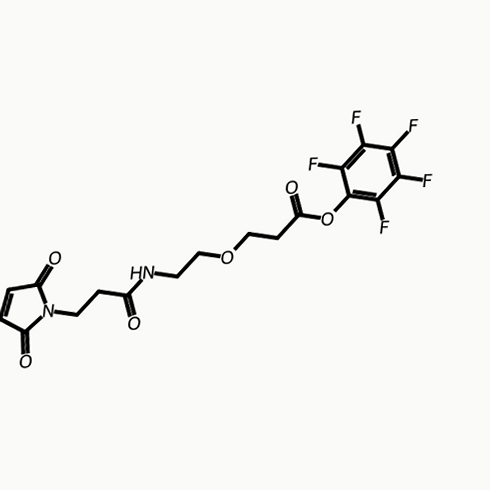 O=C(CCN1C(=O)C=CC1=O)NCCOCCC(=O)Oc1c(F)c(F)c(F)c(F)c1F